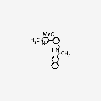 COc1ccc(CN[C@H](C)c2ccc3ccccc3c2)cc1-c1ccc(C)nc1